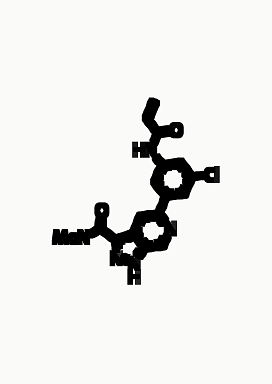 C=CC(=O)Nc1cc(Cl)cc(-c2cc3c(C(=O)NC)n[nH]c3cn2)c1